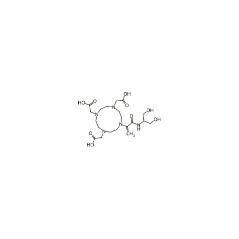 C=C(C(=O)NC(CO)CO)N1CCN(CC(=O)O)CCN(CC(=O)O)CCN(CC(=O)O)CC1